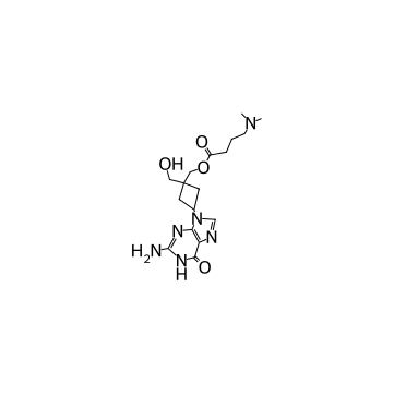 CN(C)CCCC(=O)OCC1(CO)CC(n2cnc3c(=O)[nH]c(N)nc32)C1